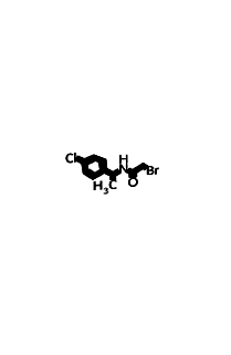 CC(NC(=O)CBr)c1ccc(Cl)cc1